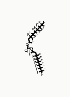 O=[PH](OC(F)CC(F)(F)C(F)(F)C(F)(F)C(F)(F)C(F)(F)C(F)(F)F)OC(F)CC(F)(F)C(F)(F)C(F)(F)C(F)(F)C(F)(F)C(F)(F)F